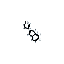 C1=COCC1.C1=Cc2ccccc2C1